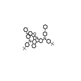 Cc1ccc2oc3c(c2c1)c1c(N(c2ccc(-c4ccccc4)cc2)c2ccc(C(C)(C)C)cc2)c2ccccc2c2c4ccc(N(c5ccc(-c6ccccc6)cc5)c5ccc(C(C)(C)C)cc5)cc4n3c12